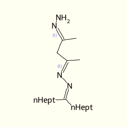 CCCCCCCC(CCCCCCC)=N/N=C(\C)C/C(C)=N/N